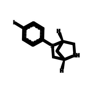 Ic1ccc(N2C[C@@H]3C[C@H]2CN3)cc1